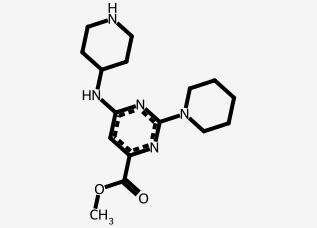 COC(=O)c1cc(NC2CCNCC2)nc(N2CCCCC2)n1